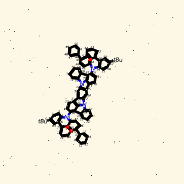 CC(C)(C)c1ccc(N(c2ccc(-c3ccccc3)cc2)c2ccc3c4cc5c(cc4n4c6ccccc6c2c34)c2ccc(N(c3ccc(-c4ccccc4)cc3)c3ccc(C(C)(C)C)cc3-c3ccccc3)c3c4ccccc4n5c23)c(-c2ccccc2)c1